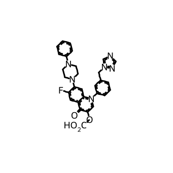 O=C(O)Oc1cn(-c2cccc(Cn3cncn3)c2)c2cc(N3CCN(c4ccccc4)CC3)c(F)cc2c1=O